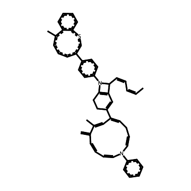 C=C1/C=C\C=C/N(c2ccccc2)C=CC/C=C(C2=CC3=C(CC2)N(c2ccc(-c4cccc(C)c5ccccc5sc4)cc2)C3/C=C\C=C/C)\C=C\1C